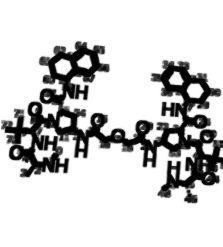 CN[C@@H](C)C(=O)N[C@H](C(=O)N1C[C@@H](NC(=O)COCC(=O)N[C@H]2C[C@@H](C(=O)N[C@@H]3CCCc4ccccc43)N(C(=O)[C@@H](NC(=O)[C@H](C)NC)C(C)(C)C)C2)C[C@H]1C(=O)N[C@@H]1CCCc2ccccc21)C(C)(C)C